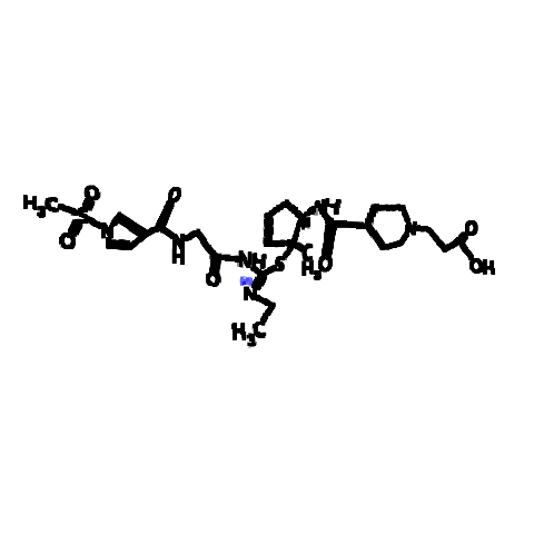 CC/N=C(/NC(=O)CNC(=O)c1ccn(S(C)(=O)=O)c1)SC1(C)C=CC[C@H]1NC(=O)C1CCN(CCC(=O)O)CC1